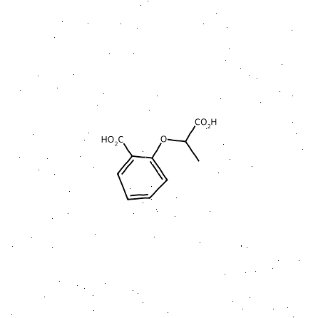 CC(Oc1ccccc1C(=O)O)C(=O)O